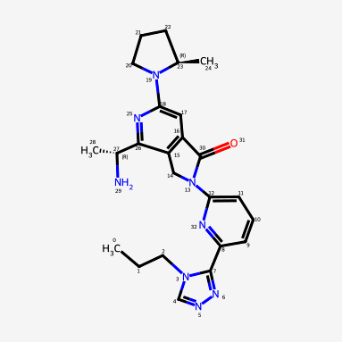 CCCn1cnnc1-c1cccc(N2Cc3c(cc(N4CCC[C@H]4C)nc3[C@@H](C)N)C2=O)n1